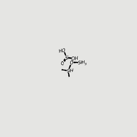 C[SiH](C)O[SiH3].O=[Si](O)O